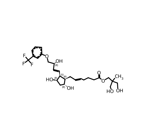 CC(CO)(CO)COC(=O)CCCC=CC[C@@H]1[C@H](C=C[C@@H](O)COc2cccc(C(F)(F)F)c2)[C@H](O)C[C@H]1O